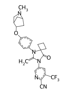 C=C1N(c2cnc(C#N)c(C(F)(F)F)c2)C(=O)C2(CCC2)N1c1ccc(OC2CC3CC2CN3C)cc1